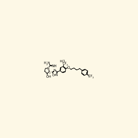 Cl.N=C(N)N1CC[C@H](O)[C@H]1c1nc(-c2ccc(OCCCCc3ccc(C(F)(F)F)cc3)c(C(F)(F)F)c2)no1